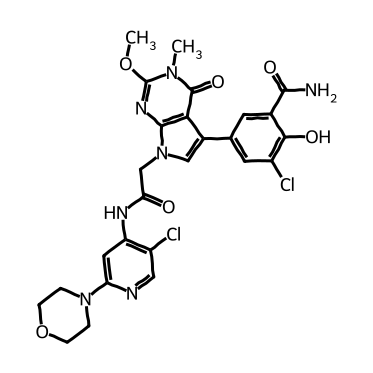 COc1nc2c(c(-c3cc(Cl)c(O)c(C(N)=O)c3)cn2CC(=O)Nc2cc(N3CCOCC3)ncc2Cl)c(=O)n1C